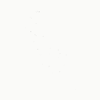 CC#Cc1cc(C)c(C2C(=O)CC3(CC2=O)CN(C(=O)/C=N/OC)C3)c(C)c1